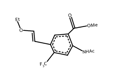 CCOC=Cc1cc(C(=O)OC)c(NC(C)=O)cc1C(F)(F)F